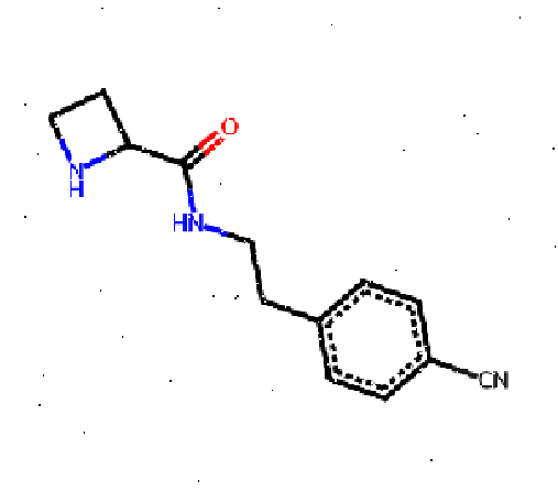 N#Cc1ccc(CCNC(=O)C2CCN2)cc1